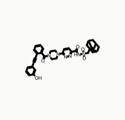 O=C(NS(=O)(=O)CC12CC3CC(CC(C3)C1)C2)c1ccc(N2CCN(C(=O)c3ccccc3C#Cc3cccc(O)c3)CC2)nn1